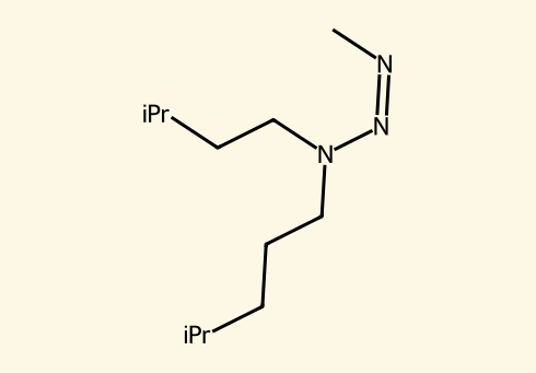 C/N=N\N(CCCC(C)C)CCC(C)C